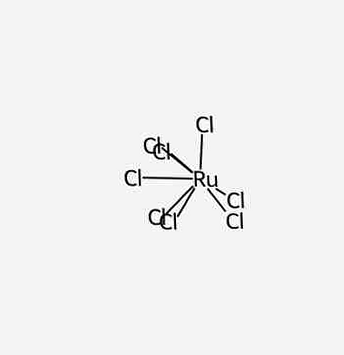 [Cl][Ru]([Cl])([Cl])([Cl])([Cl])([Cl])([Cl])[Cl]